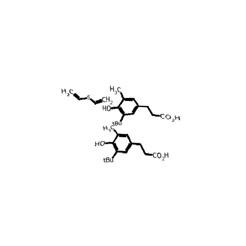 C=CSC=C.Cc1cc(CCC(=O)O)cc(C(C)(C)C)c1O.Cc1cc(CCC(=O)O)cc(C(C)(C)C)c1O